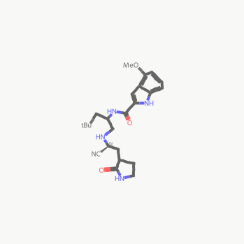 COc1cccc2[nH]c(C(=O)NC(CN[C@H](C#N)CC3CCNC3=O)CC(C)(C)C)cc12